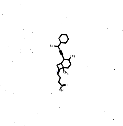 CC12CCC(O)C(C#CC(O)C3CCCCC3)C1C/C2=C/CCC(=O)O